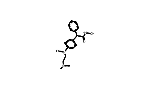 CCN(CCN(C)C)c1ccc(C(C(=O)NO)c2ccccc2)cc1